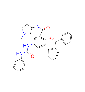 CN1CCC(N(C)C(=O)c2cc(NC(=O)Nc3ccccc3)ccc2OC(c2ccccc2)c2ccccc2)C1